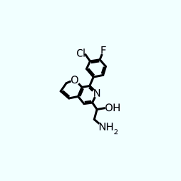 NCC(O)c1cc2c(c(-c3ccc(F)c(Cl)c3)n1)OCC=C2